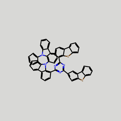 c1ccc(-n2c3ccccc3c3cccc(-n4c5ccccc5c5cccc(-c6nc(-c7ccc8sc9ccccc9c8c7)nc(-c7cccc8c7sc7ccccc78)n6)c54)c32)cc1